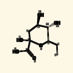 CCC1OC(O)(C(=O)O)C[C@@H](O)[C@@H]1O